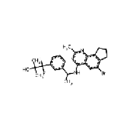 Cc1nc(NC(C)c2cccc(C(F)(F)C(C)(C)O)c2)c2cc(Br)c3c(c2n1)CCC3